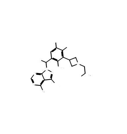 COc1c(C(C)n2nc(C)c3c(N)ncnc32)cc(Cl)c(F)c1C1CN(C[C@H](C)O)C1